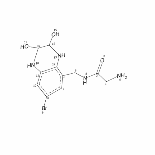 NCC(=O)NCc1cc(Br)cc2c1NC(O)C(O)N2